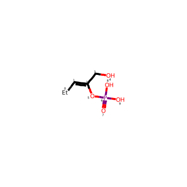 CCC=C(CO)OP(=O)(O)O